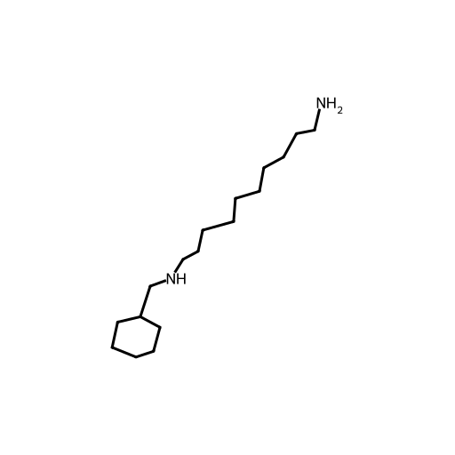 NCCCCCCCCCCNCC1CCCCC1